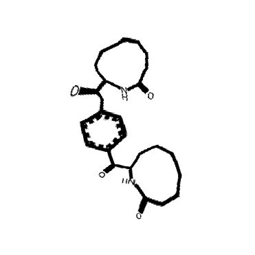 O=C1CCCCCCC(C(=O)c2ccc(C(=O)C3CCCCCCC(=O)N3)cc2)N1